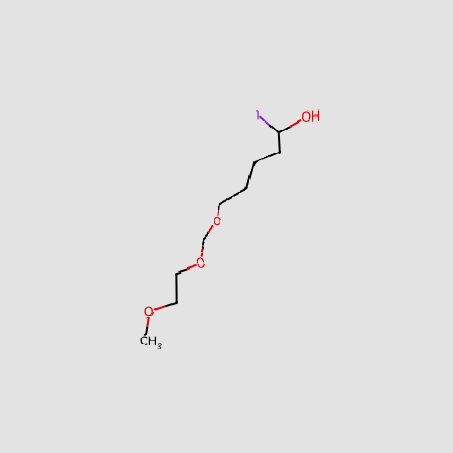 COCCOCOCCCCC(O)I